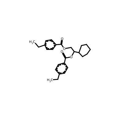 CCc1ccc(C(=O)OCC(OC(=O)c2ccc(CC)cc2)C2CCCCC2)cc1